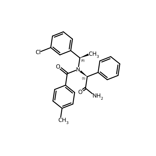 Cc1ccc(C(=O)N([C@H](C)c2cccc(Cl)c2)[C@H](C(N)=O)c2ccccc2)cc1